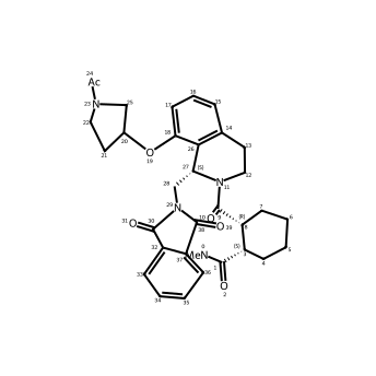 CNC(=O)[C@H]1CCCC[C@H]1C(=O)N1CCc2cccc(OC3CCN(C(C)=O)C3)c2[C@H]1CN1C(=O)c2ccccc2C1=O